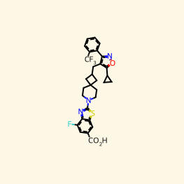 O=C(O)c1cc(F)c2nc(N3CCC4(CC3)CC(Cc3c(-c5ccccc5C(F)(F)F)noc3C3CC3)C4)sc2c1